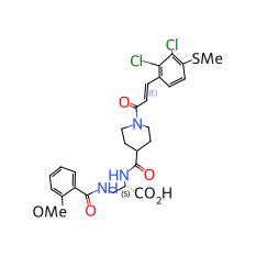 COc1ccccc1C(=O)NC[C@H](NC(=O)C1CCN(C(=O)/C=C/c2ccc(SC)c(Cl)c2Cl)CC1)C(=O)O